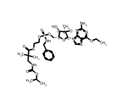 CCOc1nc(N)nc2c1ncn2[C@@H]1O[C@H](COP(=O)(NCc2ccccc2)OCCSC(=O)C(C)(C)CNC(=O)OC(C)C)[C@@H](O)[C@@]1(C)Cl